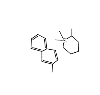 CC1CCCC[Si]1(C)C.Cc1ccc2ccccc2c1